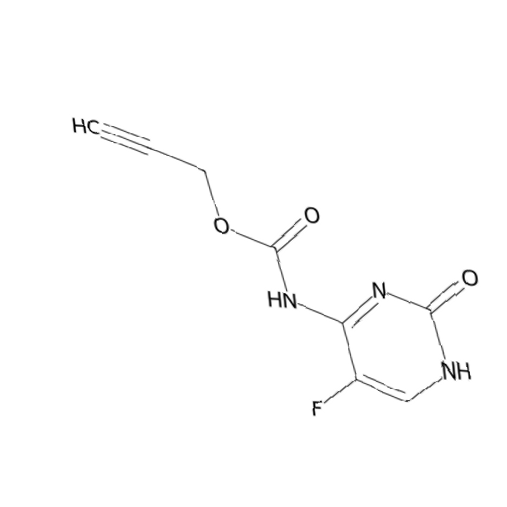 C#CCOC(=O)Nc1nc(=O)[nH]cc1F